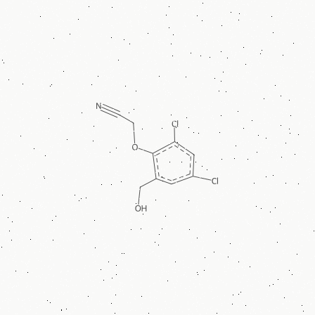 N#CCOc1c(Cl)cc(Cl)cc1CO